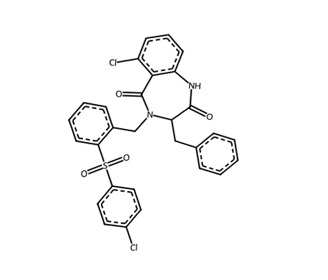 O=C1Nc2cccc(Cl)c2C(=O)N(Cc2ccccc2S(=O)(=O)c2ccc(Cl)cc2)C1Cc1ccccc1